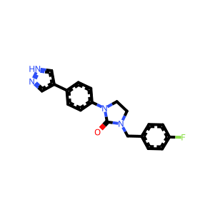 O=C1N(Cc2ccc(F)cc2)CCN1c1ccc(-c2cn[nH]c2)cc1